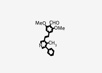 COc1cc(/C=C/c2cncc(-c3ccccc3)c2C)cc(OC)c1C=O